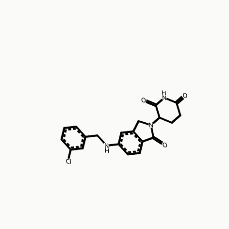 O=C1CCC(N2Cc3cc(NCc4cccc(Cl)c4)ccc3C2=O)C(=O)N1